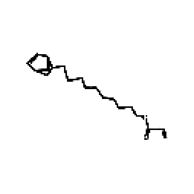 C=CC(=O)OCCCCCCCCCCC1CC2C=CC1C2